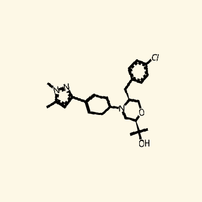 Cc1cc(C2CCC(N3C[C@H](C(C)(C)O)OC[C@@H]3Cc3ccc(Cl)cc3)CC2)nn1C